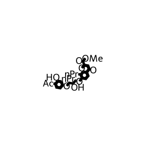 CCCc1c(OCC(O)COc2ccc3c(=O)cc(C(=O)OC)oc3c2CCC)ccc(C(C)=O)c1O